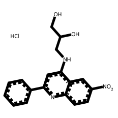 Cl.O=[N+]([O-])c1ccc2nc(-c3ccccc3)cc(NCC(O)CO)c2c1